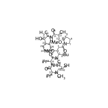 CCC(C)C(C(CC(=O)N1CCC[C@H]1C(OC)C(C)C(=O)NC(C)C(O)c1ccccc1)OC)N(C)C(=O)C(NC(=O)C(C(C)C)N(C)CCS)C(C)C